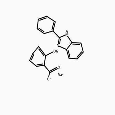 O=C([O-])c1ccccc1O.[Na+].c1ccc(-c2nc3ccccc3[nH]2)cc1